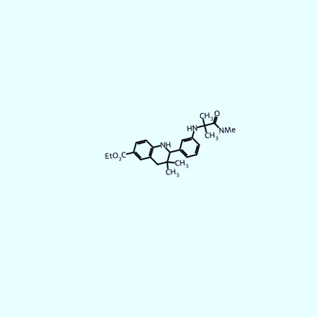 CCOC(=O)c1ccc2c(c1)CC(C)(C)C(c1cccc(NC(C)(C)C(=O)NC)c1)N2